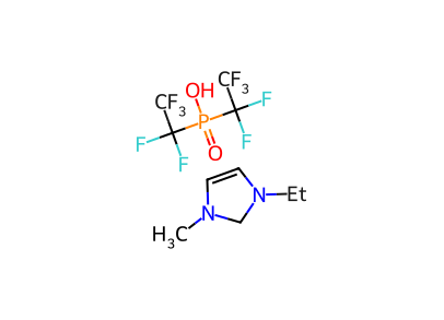 CCN1C=CN(C)C1.O=P(O)(C(F)(F)C(F)(F)F)C(F)(F)C(F)(F)F